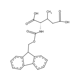 CC(CC(=O)O)[C@H](NC(=O)OCC1c2ccccc2-c2ccccc21)C(=O)O